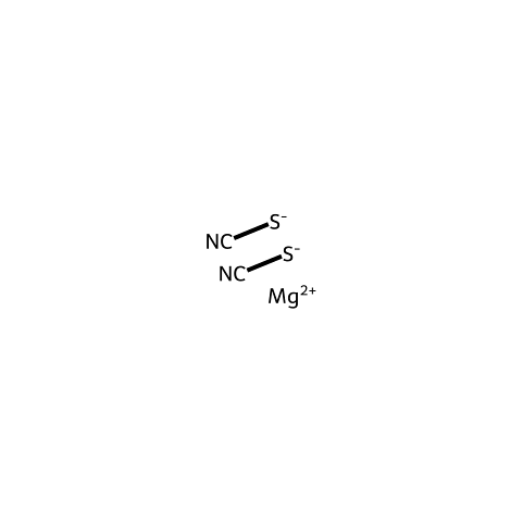 N#C[S-].N#C[S-].[Mg+2]